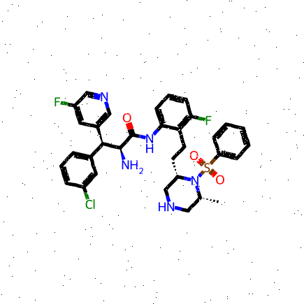 C[C@@H]1CNC[C@H](CCc2c(F)cccc2NC(=O)[C@@H](N)[C@H](c2cncc(F)c2)c2cccc(Cl)c2)N1S(=O)(=O)c1ccccc1